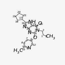 CCCn1c(Oc2ccc(C)nc2)nc2nc(C3CCCC3)[nH]c2c1=O